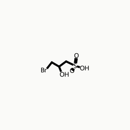 O=S(=O)(O)CC(O)CBr